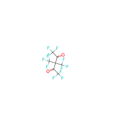 O=C(C(F)(F)F)C(C(=O)C(F)(F)F)(C(F)(F)F)C(F)(F)F